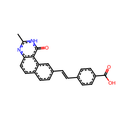 Cc1nc2ccc3ccc(C=Cc4ccc(C(=O)O)cc4)cc3c2c(=O)[nH]1